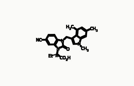 CC[C@@H](C(=O)O)n1c(=O)n(Cc2cn(C)c3cc(C)cc(C)c23)c2ccc(C#N)cc21